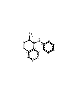 FC(F)(F)C1CCc2ccccc2N1[Se]c1ccccc1